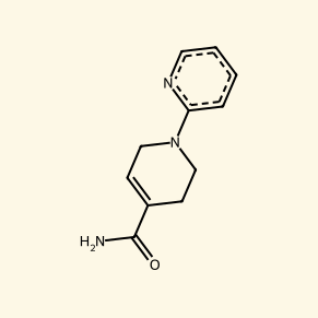 NC(=O)C1=CCN(c2ccccn2)CC1